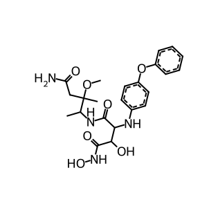 COC(C)(CC(N)=O)C(C)NC(=O)C(Nc1ccc(Oc2ccccc2)cc1)C(O)C(=O)NO